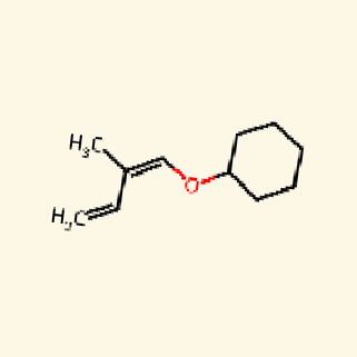 C=C/C(C)=C\OC1CCCCC1